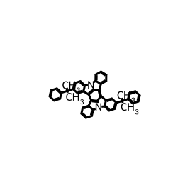 CC(C)(c1ccccc1)c1ccc2c(c1)c1c3c4ccccc4n4c5ccc(C(C)(C)c6ccccc6)cc5c(c5c6ccccc6n2c51)c34